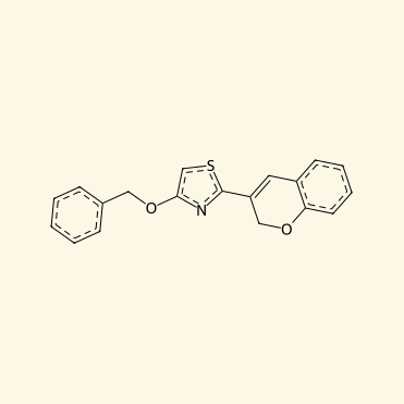 C1=C(c2nc(OCc3ccccc3)cs2)COc2ccccc21